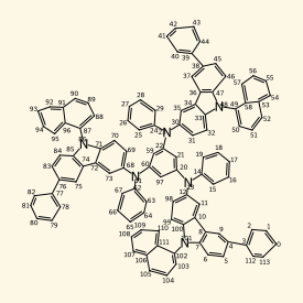 c1ccc(-c2ccc3c(c2)c2cc(N(c4ccccc4)c4cc(N(c5ccccc5)c5ccc6c(c5)c5cc(-c7ccccc7)ccc5n6-c5cccc6ccccc56)cc(N(c5ccccc5)c5ccc6c(c5)c5cc(-c7ccccc7)ccc5n6-c5cccc6ccccc56)c4)ccc2n3-c2cccc3ccccc23)cc1